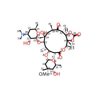 CC[C@H]1OC(=O)[C@H](C)[C@@H](O[C@H]2C[C@@](C)(OC)[C@@H](O)[C@H](C)O2)[C@H](C)[C@@H](O[C@@H]2O[C@H](C)C[C@H](N(C)C)[C@H]2O)[C@](C)(O)C[C@@H](C)C(=O)[C@H](C)[C@H]2OC(=O)O[C@@]21C